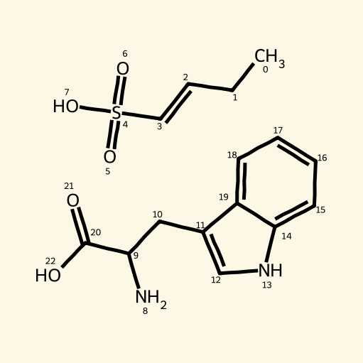 CCC=CS(=O)(=O)O.NC(Cc1c[nH]c2ccccc12)C(=O)O